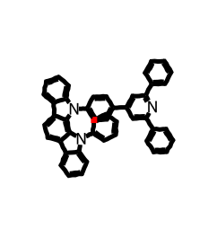 c1ccc(-c2cc(-c3ccc(-n4c5ccccc5c5ccc6c7ccccc7n(-c7ccccc7)c6c54)cc3)cc(-c3ccccc3)n2)cc1